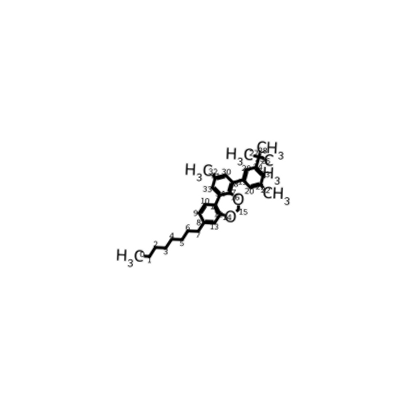 CCCCCCCCc1ccc2c(c1)OCOc1c(-c3cc(C)cc(C(C)(C)C)c3)cc(C)cc1-2